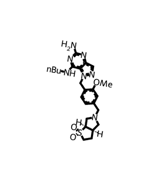 CCCCNc1nc(N)nc2cnn(Cc3ccc(CN4C[C@H]5CCS(=O)(=O)[C@H]5C4)cc3OC)c12